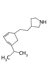 CC(C)C1=CC=CC(CCC2CCNC2)C1